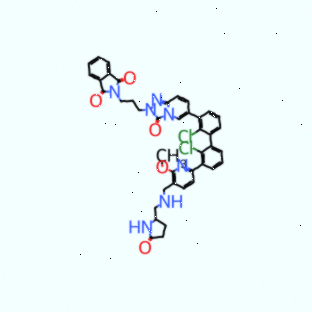 COc1nc(-c2cccc(-c3cccc(-c4ccc5nn(CCCN6C(=O)c7ccccc7C6=O)c(=O)n5c4)c3Cl)c2Cl)ccc1CNCC1CCC(=O)N1